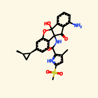 Cc1cc(S(C)(=O)=O)[nH]c1C(=O)NC12C(=O)c3c(N)cccc3C1(O)Oc1cc([C@H]3C[C@H]3C)ccc12